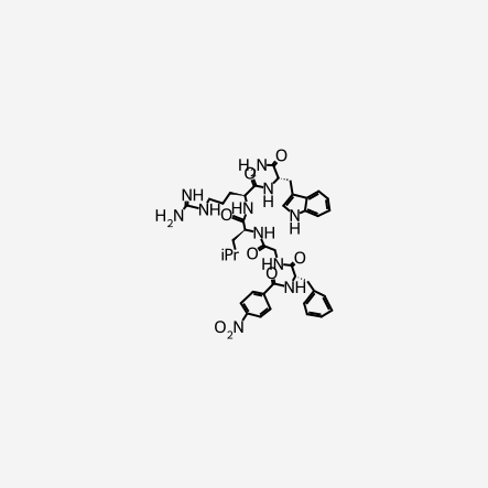 CC(C)C[C@H](NC(=O)CNC(=O)[C@H](Cc1ccccc1)NC(=O)c1ccc([N+](=O)[O-])cc1)C(=O)N[C@@H](CCCNC(=N)N)C(=O)N[C@@H](Cc1c[nH]c2ccccc12)C(N)=O